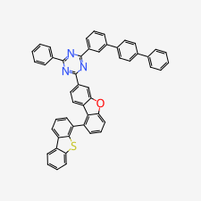 c1ccc(-c2ccc(-c3cccc(-c4nc(-c5ccccc5)nc(-c5ccc6c(c5)oc5cccc(-c7cccc8c7sc7ccccc78)c56)n4)c3)cc2)cc1